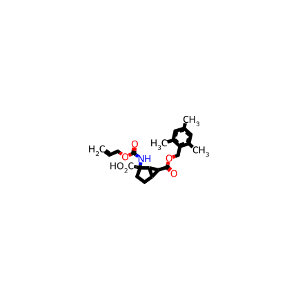 C=CCOC(=O)NC1(C(=O)O)CCC2C(C(=O)OCc3c(C)cc(C)cc3C)C21